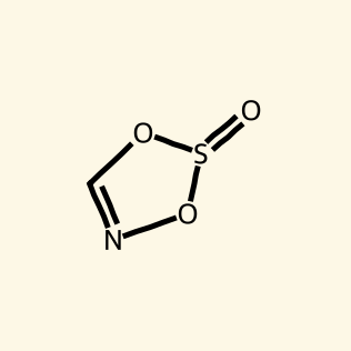 O=S1OC=NO1